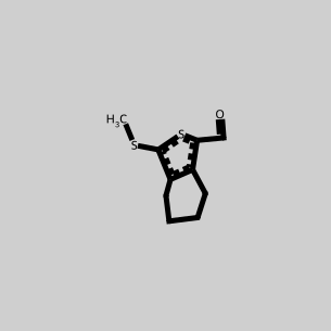 CSc1sc(C=O)c2c1CCCC2